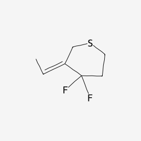 C/C=C1\CSCCC1(F)F